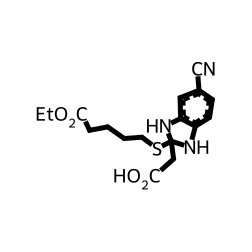 CCOC(=O)CCCCSC1(CC(=O)O)Nc2ccc(C#N)cc2N1